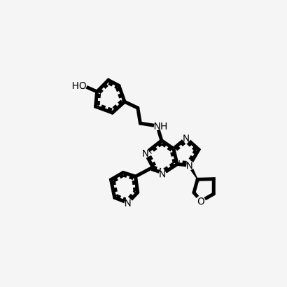 Oc1ccc(CCNc2nc(-c3cccnc3)nc3c2ncn3[C@H]2CCOC2)cc1